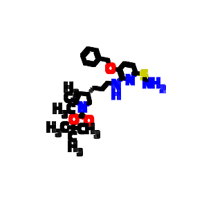 CC(C)(C)OC(=O)N1C[C@@H](CCCNc2nc(SN)ccc2OCc2ccccc2)CC1(C)C